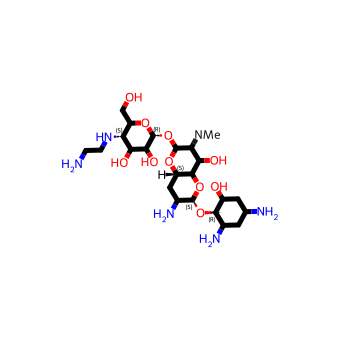 CNC1C(O[C@H]2OC(CO)[C@@H](NCCN)C(O)C2O)O[C@H]2CC(N)[C@@H](O[C@@H]3C(N)CC(N)CC3O)OC2C1O